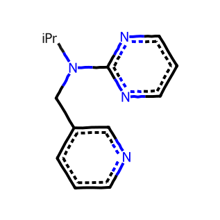 CC(C)N(Cc1cccnc1)c1ncccn1